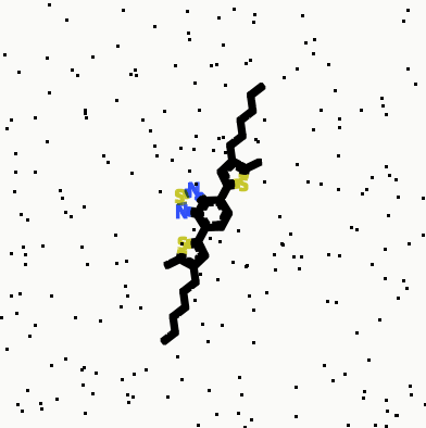 CCCCCCc1cc(-c2ccc(-c3cc(CCCCCC)c(C)s3)c3nsnc23)sc1C